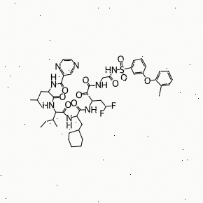 CCC(C)C(NC(=O)C(CC(C)C)NC(=O)c1cnccn1)C(=O)NC(CC1CCCCC1)C(=O)NC(CC(F)F)C(=O)C(=O)NCC(=O)NS(=O)(=O)c1cccc(Oc2ccccc2C)c1